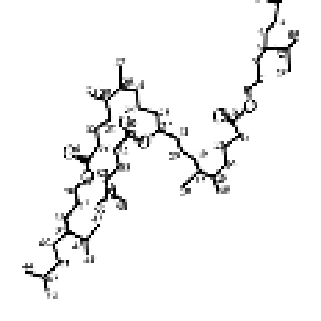 CC(C)CCC(CCCOC(=O)CCCC(C)C(C)CCCC(CCCC(C)C(C)CCCC(=O)OCCCC(CCC(C)C)C(C)C)OC(=O)CCCN(C)C)C(C)C